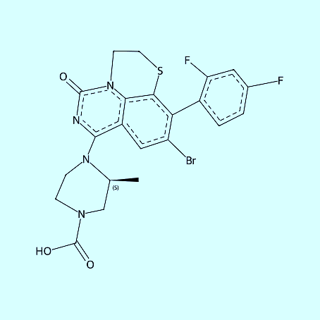 C[C@H]1CN(C(=O)O)CCN1c1nc(=O)n2c3c(c(-c4ccc(F)cc4F)c(Br)cc13)SCC2